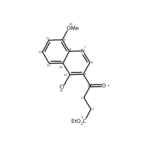 CCOC(=O)CCC(=O)c1cnc2c(OC)cccc2c1Cl